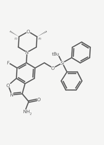 C[C@@H]1CN(c2c(CO[Si](c3ccccc3)(c3ccccc3)C(C)(C)C)cc3c(C(N)=O)noc3c2F)C[C@H](C)O1